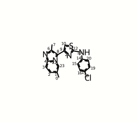 Cc1ccc2nc(C)c(-c3csc(Nc4ccc(Cl)cc4)n3)n2c1